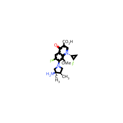 COc1c(N2C[C@@H](C)[C@@](C)(N)C2)c(F)cc2c(=O)c(C(=O)O)cn([C@@H]3C[C@@H]3F)c12